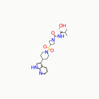 CC(C)[C@@H](CO)NC(=O)N1CC(S(=O)(=O)N2CCC(c3c[nH]c4ncccc34)CC2)C1